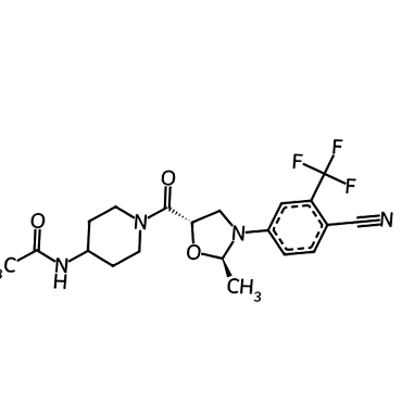 CC(=O)NC1CCN(C(=O)[C@@H]2CN(c3ccc(C#N)c(C(F)(F)F)c3)[C@@H](C)O2)CC1